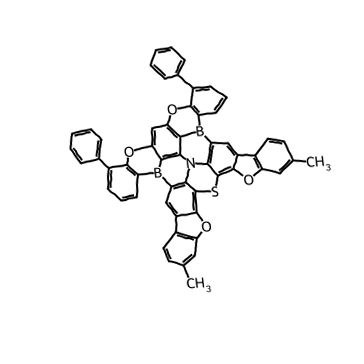 Cc1ccc2c(c1)oc1c3c4c(cc12)B1c2cccc(-c5ccccc5)c2Oc2cc5c6c(c21)N4c1c(cc2c(oc4cc(C)ccc42)c1S3)B6c1cccc(-c2ccccc2)c1O5